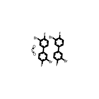 Fc1ccc(-c2ccc(F)c(Br)c2)cc1Br.Fc1ccc(-c2ccc(F)c(Br)c2)cc1Br.O=S=O